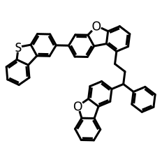 c1ccc(C(CCc2cccc3oc4cc(-c5ccc6sc7ccccc7c6c5)ccc4c23)c2ccc3oc4ccccc4c3c2)cc1